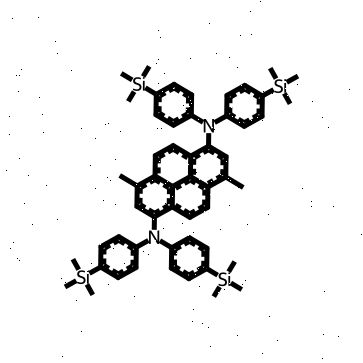 Cc1cc(N(c2ccc([Si](C)(C)C)cc2)c2ccc([Si](C)(C)C)cc2)c2ccc3c(C)cc(N(c4ccc([Si](C)(C)C)cc4)c4ccc([Si](C)(C)C)cc4)c4ccc1c2c34